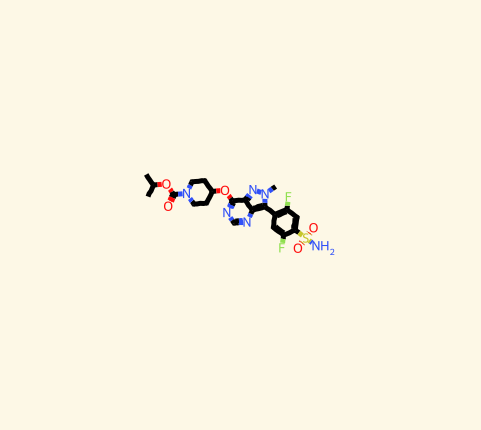 CC(C)OC(=O)N1CCC(Oc2ncnc3c(-c4cc(F)c(S(N)(=O)=O)cc4F)n(C)nc23)CC1